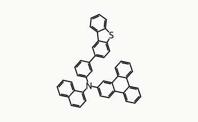 c1cc(-c2ccc3sc4ccccc4c3c2)cc(N(c2ccc3c4ccccc4c4ccccc4c3c2)c2cccc3ccccc23)c1